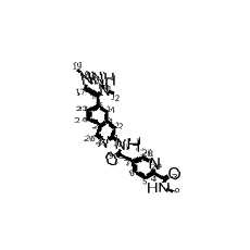 CNC(=O)c1ccc(C(=O)Nc2cc3cc(C4=CN(C)NN4C)ccc3cn2)cn1